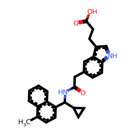 Cc1ccc(C(NC(=O)Cc2ccc3[nH]cc(CCC(=O)O)c3c2)C2CC2)c2ccccc12